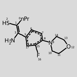 CCC/C(S)=C(/N)c1ccc(N2CCOCC2)c(F)c1